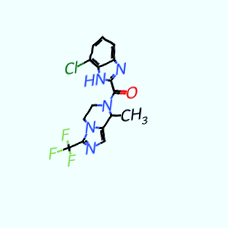 CC1c2cnc(C(F)(F)F)n2CCN1C(=O)c1nc2cccc(Cl)c2[nH]1